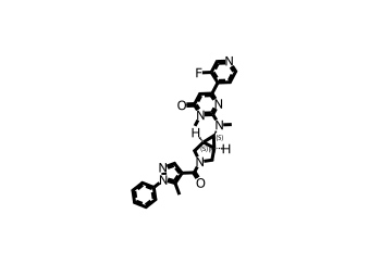 Cc1c(C(=O)N2C[C@@H]3[C@H](C2)[C@H]3N(C)c2nc(-c3ccncc3F)cc(=O)n2C)cnn1-c1ccccc1